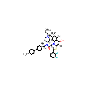 [2H]C1=C(SCc2cccc(F)c2F)N(C([2H])([2H])C(=O)N(C2CCN(CCOC)CC2)C([2H])([2H])c2ccc(-c3ccc(C(F)(F)F)cc3)cc2)c2c([2H])c([2H])c(C)c([2H])c2C1O